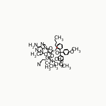 C=CCO[C@@H]1[C@H](OP(OCCC#N)N(C(C)C)C(C)C)[C@@H](C(CCCCC)OC(c2ccccc2)(c2ccc(OC)cc2)c2ccc(OC)cc2)O[C@H]1n1cnc2c(N)ncnc21